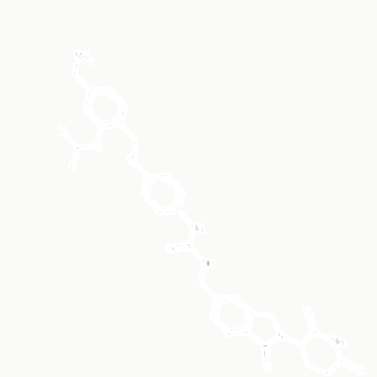 NCc1ccc(COc2ccc(NC(=O)NCc3ccc4c(c3)CN(C3CCC(=O)NC3=O)C4=O)cc2)c(OC(F)F)c1